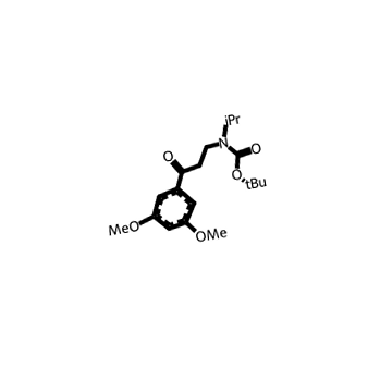 COc1cc(OC)cc(C(=O)CCN(C(=O)OC(C)(C)C)C(C)C)c1